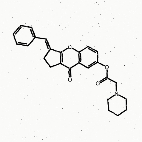 O=C(CN1CCCCC1)Oc1ccc2oc3c(c(=O)c2c1)CC/C3=C\c1ccccc1